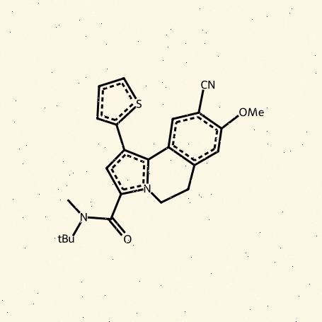 COc1cc2c(cc1C#N)-c1c(-c3cccs3)cc(C(=O)N(C)C(C)(C)C)n1CC2